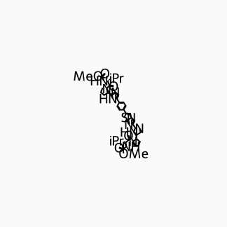 COC(=O)N[C@H](C(=O)N1CCCC1c1ncc(-c2ccc(-c3cn4cc(C5=NC[C@@H](C6CCCN6C(=O)[C@@H](NC(=O)OC)C(C)C)N5)nc4s3)cc2)[nH]1)C(C)C